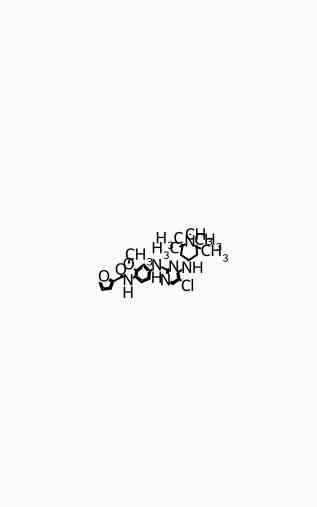 COc1cc(Nc2ncc(Cl)c(NC3CC(C)(C)N(C)C(C)(C)C3)n2)ccc1NC(=O)c1ccco1